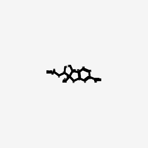 CCOC(=O)CC(C)C1(C(C)=O)Cc2cc(OC)ccc2N1C